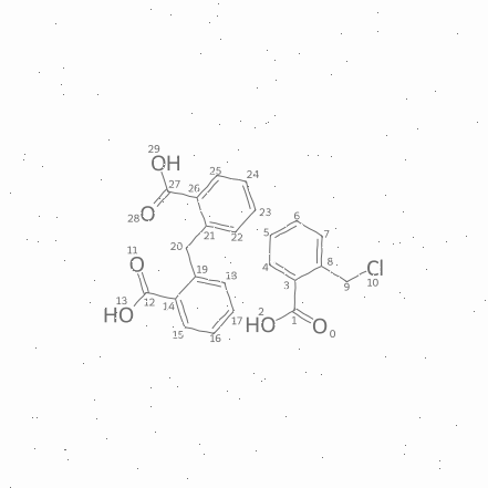 O=C(O)c1ccccc1CCl.O=C(O)c1ccccc1Cc1ccccc1C(=O)O